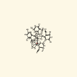 C#Cc1c(C)cc(C)cc1C12CC3CC(C1)CC(C14CC5(c6cc(C)cc(C)c6C#C)CC(c6cc(C)cc(C)c6C#C)(CC(c6cc(C)cc(C)c6C#C)(C5)C1)C4)(C3)C2